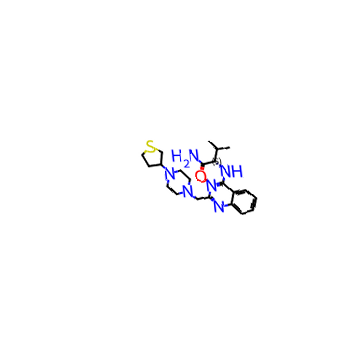 CC(C)[C@H](Nc1nc(CN2CCN(C3CCSC3)CC2)nc2ccccc12)C(N)=O